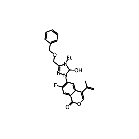 C=C(C)c1coc(=O)c2cc(F)c(N3N=C(COCc4ccccc4)N(CC)C3O)cc12